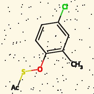 CC(=O)SOc1ccc(Cl)cc1C